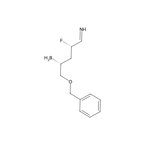 B[C@@H](COCc1ccccc1)C[C@H](F)C=N